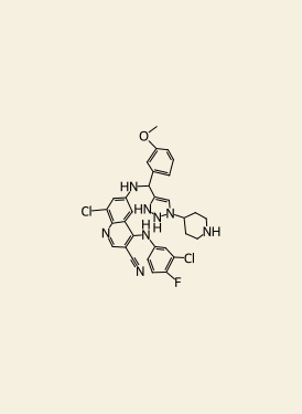 COc1cccc(C(Nc2cc(Cl)c3ncc(C#N)c(Nc4ccc(F)c(Cl)c4)c3c2)C2=CN(C3CCNCC3)NN2)c1